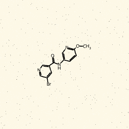 COc1ccc(NC(=O)c2cncc(Br)c2)cn1